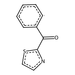 O=C(c1[c]cccc1)c1nccs1